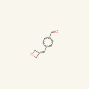 O=Cc1ccc(C=C2COC2)cc1